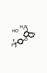 Cl.NCc1ccc(Oc2ccc(C(F)(F)F)cc2)c2ccncc12